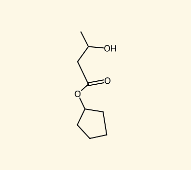 CC(O)CC(=O)OC1CCCC1